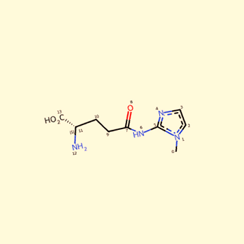 Cn1ccnc1NC(=O)CC[C@H](N)C(=O)O